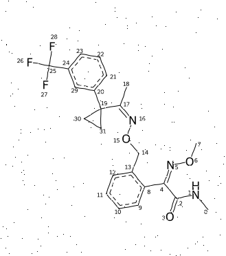 CNC(=O)C(=NOC)c1ccccc1CON=C(C)C1(c2cccc(C(F)(F)F)c2)CC1